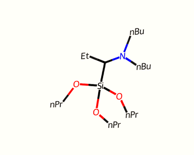 CCCCN(CCCC)C(CC)[Si](OCCC)(OCCC)OCCC